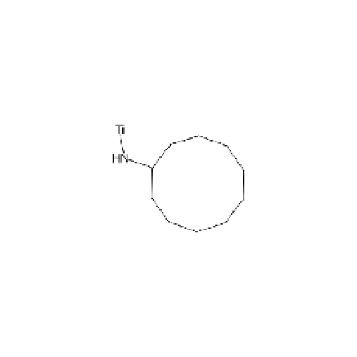 [Ti][NH]C1CCCCCCCCC1